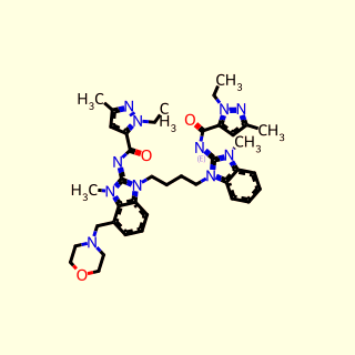 CCn1nc(C)cc1C(=O)N=c1n(C)c2c(CN3CCOCC3)cccc2n1CCCCn1/c(=N/C(=O)c2cc(C)nn2CC)n(C)c2ccccc21